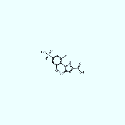 Cc1cc(S(=O)(=O)O)cc(Cl)c1-n1[nH]c(C(=O)O)cc1=O